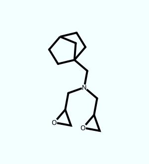 C1CC2(CN(CC3CO3)CC3CO3)CCC1C2